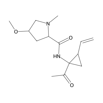 C=CC1CC1(NC(=O)C1CC(OC)CN1C)C(C)=O